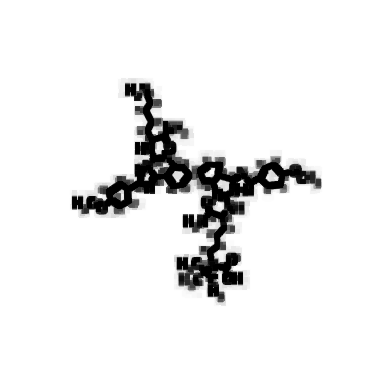 COc1ccc(-c2nc3c4ccccc4nc(N[C@@H](CCCCN(C(=O)O)C(C)(C)C)C(N)=O)n3n2)cc1.COc1ccc(-c2nc3c4ccccc4nc(N[C@@H](CCCCN)C(N)=O)n3n2)cc1